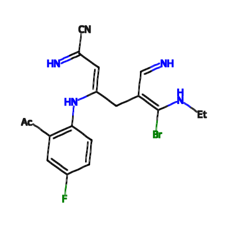 CCN/C(Br)=C(\C=N)C/C(=C/C(=N)C#N)Nc1ccc(F)cc1C(C)=O